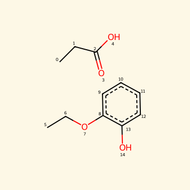 CCC(=O)O.CCOc1ccccc1O